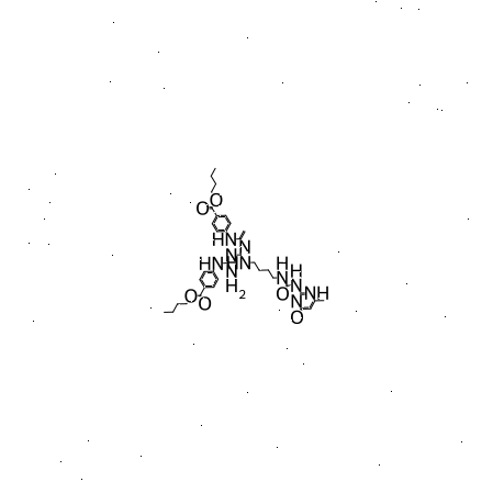 C=C(/N=C(\N=C(/N)Nc1ccc(C(=O)OCCCC)cc1)NCCCCNC(=O)Nc1nc(=O)cc(C)[nH]1)Nc1ccc(C(=O)OCCCC)cc1